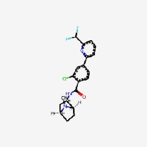 N#CN1[C@H]2CC[C@@H]1[C@H](NC(=O)c1ccc(-c3cccc(C(F)F)n3)cc1Cl)C2